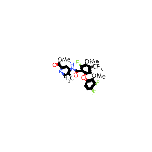 COC(=O)c1cc(NC(=O)c2c(Oc3ccc(F)c(F)c3OC)cc(C(F)(F)F)c(OC)c2F)c(C)cn1